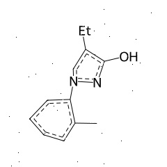 CCc1cn(-c2ccccc2C)nc1O